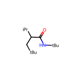 CC(C)C(CC(C)(C)C)C(=O)NC(C)(C)C